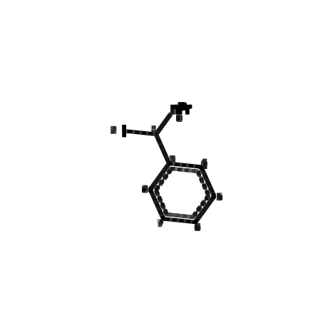 CCCC(I)c1[c]cccc1